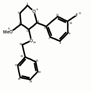 COC1CCOC(c2cccc(F)c2)C1OCc1ccccc1